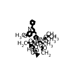 C=CC(=O)O[C@H](C)[C@H](NC(=O)OC(C)(C)C)C(=O)N1C[C@H](Cc2cc(-c3ccccc3)nc3cc(OC)ccc23)C[C@H]1C(=O)N[C@]1(C(=O)NS(=O)(=O)C2CC2)C[C@H]1C=C